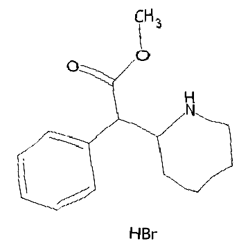 Br.COC(=O)C(c1ccccc1)C1CCCCN1